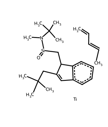 C=CC=CC.CN([Si](=O)CC1C(CC(C)(C)C)=Cc2ccccc21)C(C)(C)C.[Ti]